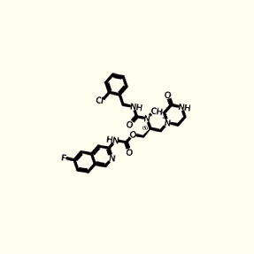 CN(C(=O)NCc1ccccc1Cl)[C@H](COC(=O)Nc1cc2cc(F)ccc2cn1)CN1CCNC(=O)C1